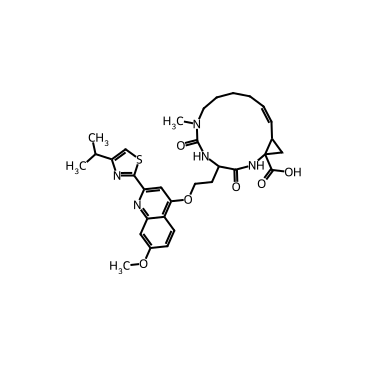 COc1ccc2c(OCCC3NC(=O)N(C)CCCCC=CC4CC4(C(=O)O)NC3=O)cc(-c3nc(C(C)C)cs3)nc2c1